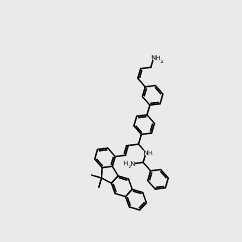 CC1(C)c2cc3ccccc3cc2-c2c(/C=C/C(NC(N)c3ccccc3)c3ccc(-c4cccc(/C=C\CN)c4)cc3)cccc21